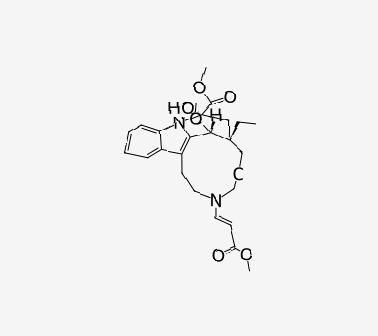 CC[C@]12CCCN(/C=C/C(=O)OC)CCc3c(n(c4ccccc34)[C@@](O)(C(=O)OC)C1)[C@@H]2OC